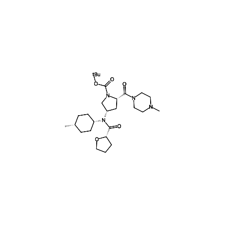 CN1CCN(C(=O)[C@@H]2C[C@H](N(C(=O)[C@@H]3CCCO3)[C@H]3CC[C@@H](C)CC3)CN2C(=O)OC(C)(C)C)CC1